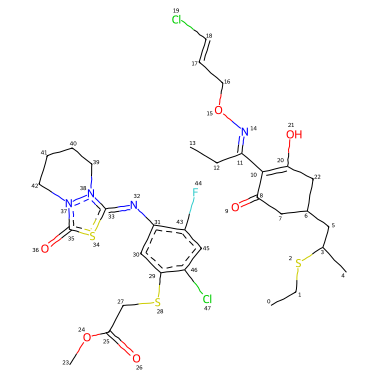 CCSC(C)CC1CC(=O)C(/C(CC)=N/OC/C=C/Cl)=C(O)C1.COC(=O)CSc1cc(/N=c2\sc(=O)n3n2CCCC3)c(F)cc1Cl